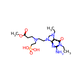 CCN1CN(CCN(CCC(=O)OC)CCP(=O)(O)O)c2nc(N)n(CC)c(=O)c21